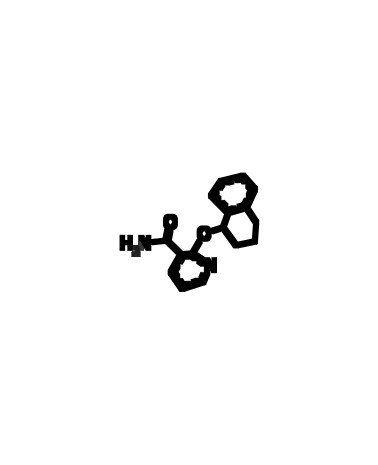 NC(=O)c1cccnc1OC1CCCc2ccccc21